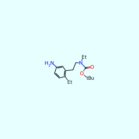 CCc1ccc(N)cc1CCN(CC)C(=O)OC(C)(C)C